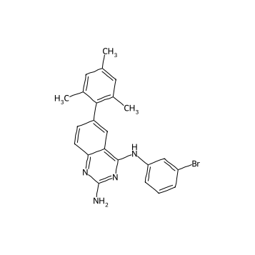 Cc1cc(C)c(-c2ccc3nc(N)nc(Nc4cccc(Br)c4)c3c2)c(C)c1